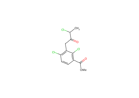 COC(=O)c1ccc(Cl)c(CC(=O)C(C)Cl)c1Cl